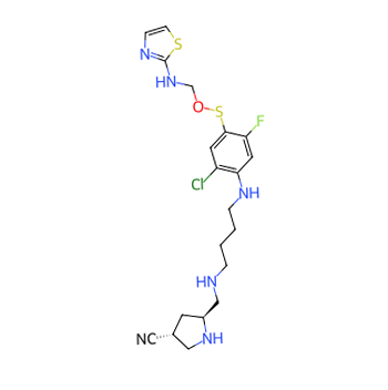 N#C[C@H]1CN[C@H](CNCCCCNc2cc(F)c(SOCNc3nccs3)cc2Cl)C1